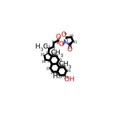 C[C@H](CCC(=O)ON1C(=O)CCC1=O)[C@@H]1CCC2C3CC[C@@H]4C[C@H](O)CC[C@]4(C)C3CC[C@@]21C